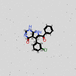 O=C(c1ccccc1)c1[nH]c2[nH]cnc(=O)c2c1-c1cccc(Cl)c1